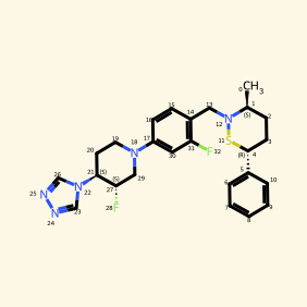 C[C@H]1CC[C@H](c2ccccc2)SN1Cc1ccc(N2CC[C@H](n3cnnc3)[C@@H](F)C2)cc1F